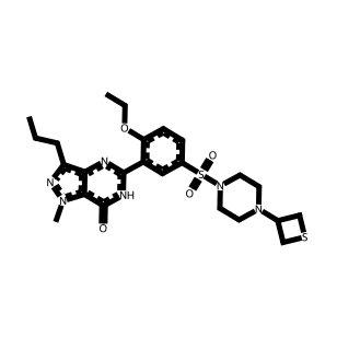 CCCc1nn(C)c2c(=O)[nH]c(-c3cc(S(=O)(=O)N4CCN(C5CSC5)CC4)ccc3OCC)nc12